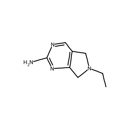 CCN1Cc2cnc(N)nc2C1